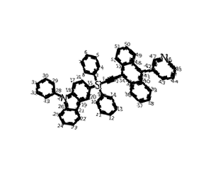 C(#C[Si](c1ccccc1)(c1ccccc1)c1ccc2c(c1)c1ccccc1n2-c1ccccc1)c1c2ccccc2c(-c2cccnc2)c2ccccc12